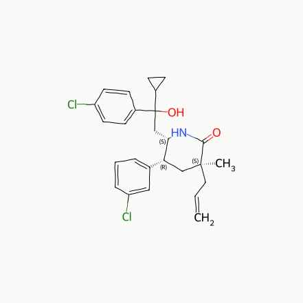 C=CC[C@@]1(C)C[C@H](c2cccc(Cl)c2)[C@H](CC(O)(c2ccc(Cl)cc2)C2CC2)NC1=O